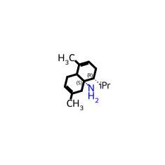 CC1=CCC2C(C)=CC[C@H](C(C)C)[C@@]2(N)C1